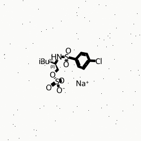 CC[C@H](C)[C@H](COS(=O)(=O)[O-])NS(=O)(=O)c1ccc(Cl)cc1.[Na+]